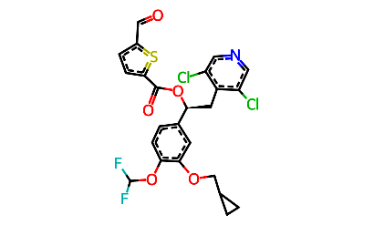 O=Cc1ccc(C(=O)O[C@@H](Cc2c(Cl)cncc2Cl)c2ccc(OC(F)F)c(OCC3CC3)c2)s1